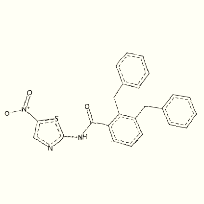 O=C(Nc1ncc([N+](=O)[O-])s1)c1[c]ccc(Cc2ccccc2)c1Cc1ccccc1